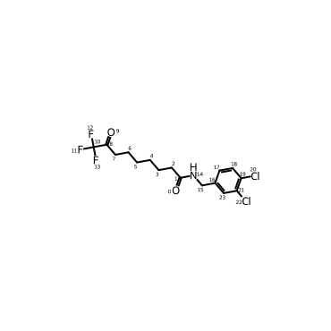 O=C(CCCCCCC(=O)C(F)(F)F)NCc1ccc(Cl)c(Cl)c1